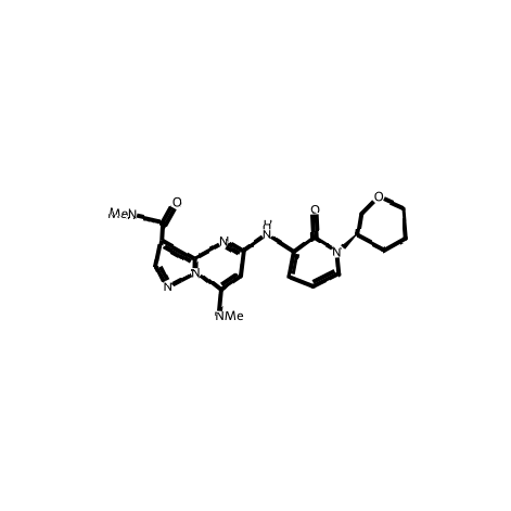 CNC(=O)c1cnn2c(NC)cc(Nc3cccn([C@@H]4CCCOC4)c3=O)nc12